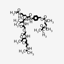 CC(C)NCCCC[C@H](NC(=O)COCC(=O)N[C@H](C(=O)N[C@@H](CCCNC(N)=O)C(=O)Nc1ccc(COC(=O)N(C)CCN(C)C(=O)C(C)C)cc1)C(C)C)C(=O)C(C)C